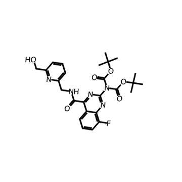 CC(C)(C)OC(=O)N(C(=O)OC(C)(C)C)c1nc(C(=O)NCc2cccc(CO)n2)c2cccc(F)c2n1